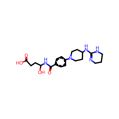 O=C(O)CCC(O)NC(=O)c1ccc(N2CCC(NC3=NCCCN3)CC2)cc1